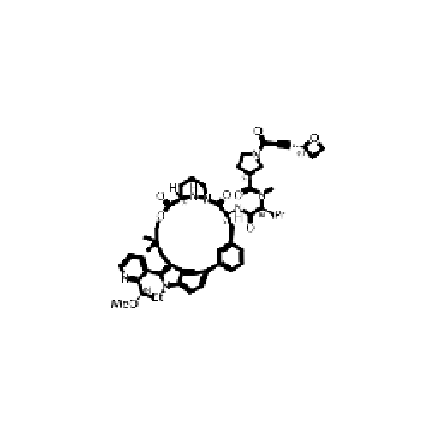 CCn1c(-c2cccnc2[C@H](C)OC)c2c3cc(ccc31)-c1cccc(c1)C[C@H](NC(=O)[C@H](C(C)C)N(C)C(=O)[C@H]1CCN(C(=O)C#C[C@H]3CCO3)C1)C(=O)N1CCC[C@H](N1)C(=O)OCC(C)(C)C2